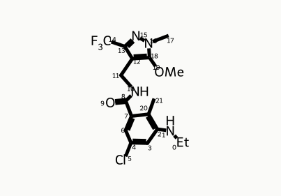 CCNc1cc(Cl)cc(C(=O)NCc2c(C(F)(F)F)nn(C)c2OC)c1C